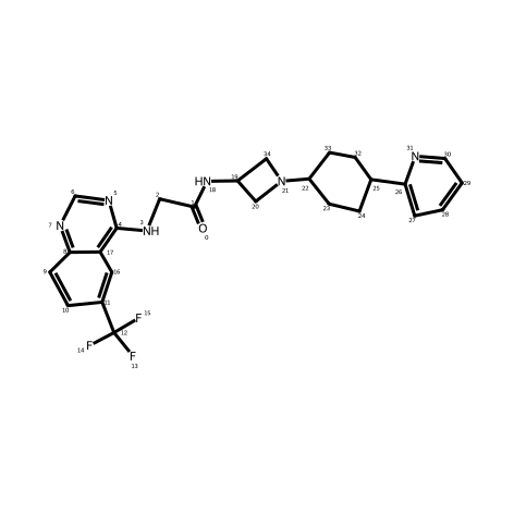 O=C(CNc1ncnc2ccc(C(F)(F)F)cc12)NC1CN(C2CCC(c3ccccn3)CC2)C1